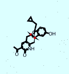 CC(=O)c1cc2c([nH]c1=O)C[C@@]13CCN(CC4CC4)CC1(Cc1ccc(O)cc13)C2